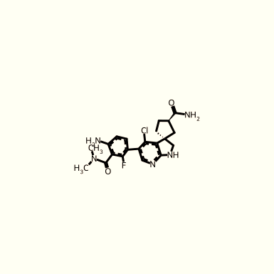 CN(C)C(=O)c1c(N)ccc(-c2cnc3c(c2Cl)[C@]2(CC[C@@H](C(N)=O)C2)CN3)c1F